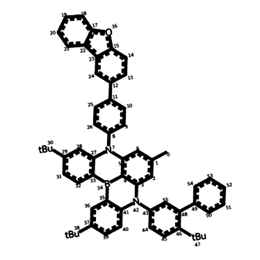 Cc1cc2c3c(c1)N(c1ccc(-c4ccc5oc6ccccc6c5c4)cc1)c1cc(C(C)(C)C)ccc1B3c1cc(C(C)(C)C)ccc1N2c1ccc(C(C)(C)C)c(-c2ccccc2)c1